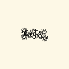 C1=CCC(C2CCC=CC2NC2=C3SC4C=CCCC4C3C(C3=CCCC=C3)CC2)C(C2CCc3c4c(n(C5C=CC=CC5)c3C2)CCCC4)=C1